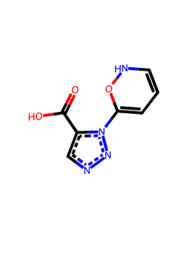 O=C(O)c1cnnn1C1=CC=CNO1